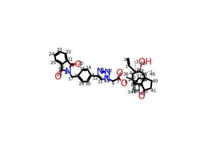 C=C[C@]1(C)C[C@@H](OC(=O)Cn2cc(-c3ccc(CN4C(=O)c5ccccc5C4=O)cc3)nn2)[C@]2(C)[C@H](C)CC[C@]3(CCC(=O)[C@H]32)[C@@H](C)[C@@H]1O